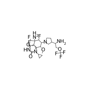 COC1c2c(c(=O)[nH]c(=O)n2C2CC2)C(N)(C(F)F)C(F)C1N1CCC(C(N)COC(F)(F)F)C1